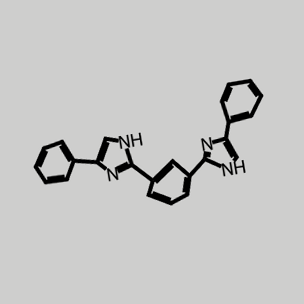 c1ccc(-c2c[nH]c(-c3cccc(-c4nc(-c5ccccc5)c[nH]4)c3)n2)cc1